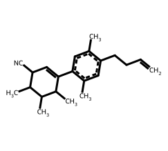 C=CCCc1cc(C)c(C2=CC(C#N)C(C)C(C)C2C)cc1C